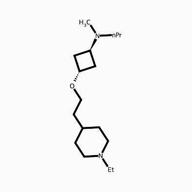 CCCN(C)[C@H]1C[C@H](OCCC2CCN(CC)CC2)C1